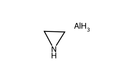 C1CN1.[AlH3]